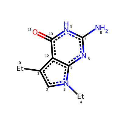 CCc1cn(CC)c2nc(N)[nH]c(=O)c12